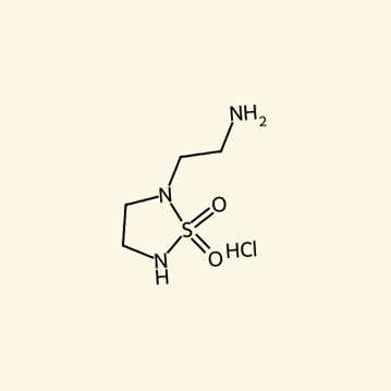 Cl.NCCN1CCNS1(=O)=O